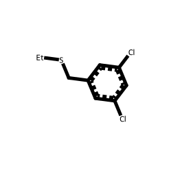 [CH2]CSCc1cc(Cl)cc(Cl)c1